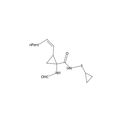 CCCCC/C=C\C1CC1(NC=O)C(=O)NSC1CC1